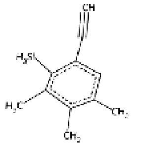 C#Cc1cc(C)c(C)c(C)c1[SiH3]